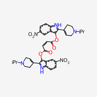 CC(C)N1CC=C(c2[nH]c3ccc([N+](=O)[O-])cc3c2OC(=O)/C=C\C(=O)Oc2c(C3=CCN(C(C)C)CC3)[nH]c3ccc([N+](=O)[O-])cc23)CC1